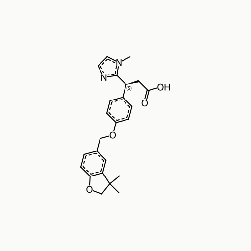 Cn1ccnc1[C@@H](CC(=O)O)c1ccc(OCc2ccc3c(c2)C(C)(C)CO3)cc1